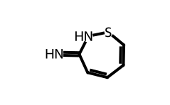 N=C1C=CC=CSN1